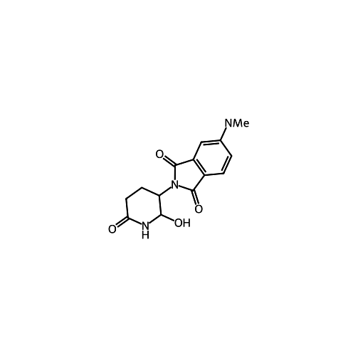 CNc1ccc2c(c1)C(=O)N(C1CCC(=O)NC1O)C2=O